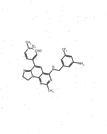 Cc1nc(NCc2cc(N)cc(C(F)(F)F)c2)c2c(n1)N1CCN=C1C(C(/C=C\N(C)C)=C/C=O)=C2